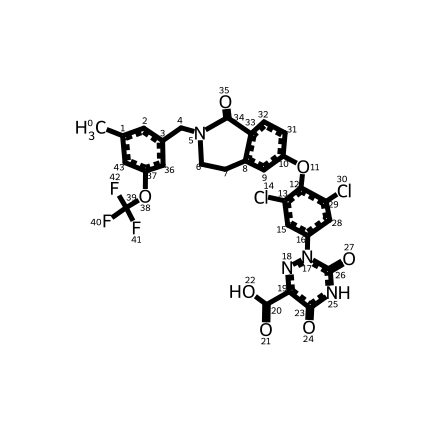 Cc1cc(CN2CCc3cc(Oc4c(Cl)cc(-n5nc(C(=O)O)c(=O)[nH]c5=O)cc4Cl)ccc3C2=O)cc(OC(F)(F)F)c1